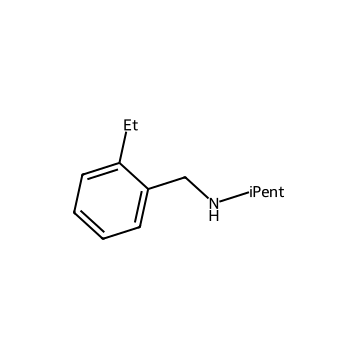 CCCC(C)NCc1ccccc1CC